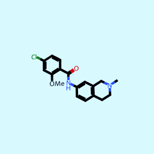 COc1cc(Cl)ccc1C(=O)Nc1ccc2c(c1)CN(C)CC2